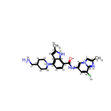 Cc1cn2cc(NC(=O)c3ccc(N4CCC(CN)CC4)c4cc(C)[nH]c34)cc(F)c2n1